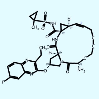 CCc1nc2ccc(F)cc2nc1O[C@@H]1C[C@H]2C(=O)N[C@]3(C(=O)NS(=O)(=O)C4(C)CC4)C[C@H]3/C=C\CCCCC[C@H](N)C(=O)N2C1